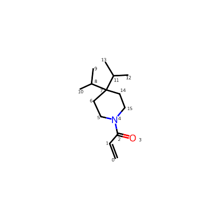 C=CC(=O)N1CCC(C(C)C)(C(C)C)CC1